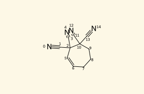 N#CC1(C#N)C=CCCCC1(C#N)C#N